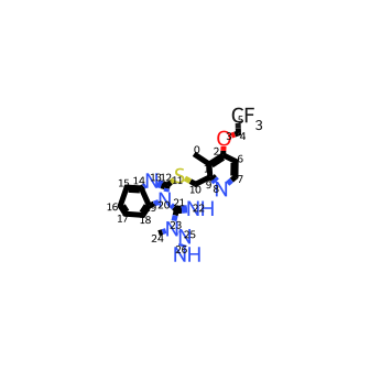 Cc1c(OCC(F)(F)F)ccnc1CSc1nc2ccccc2n1C(=N)N(C)N=N